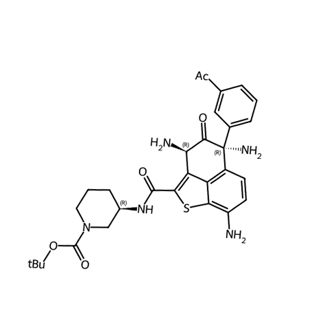 CC(=O)c1cccc([C@]2(N)C(=O)[C@H](N)c3c(C(=O)N[C@@H]4CCCN(C(=O)OC(C)(C)C)C4)sc4c(N)ccc2c34)c1